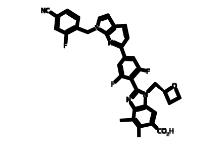 Cc1c(C(=O)O)cc2c(nc(-c3c(F)cc(-c4ccc5ccn(Cc6ccc(C#N)cc6F)c5n4)cc3F)n2C[C@@H]2CCO2)c1C